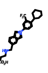 O=C(O)CCNCc1ccc2cn(-c3ccc(C4CCCCC4)c(C(F)(F)F)c3)cc2c1